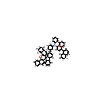 c1ccc(-c2ccccc2N(c2ccc(-c3cccc4ccccc34)cc2)c2cccc(-c3ccc4c(c3)C3(c5ccccc5-4)c4ccc5ccccc5c4Oc4c3ccc3ccccc43)c2)cc1